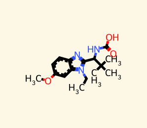 CCn1c(C(NC(=O)O)C(C)(C)C)nc2ccc(OC)cc21